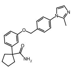 Cc1nccn1-c1ccc(COc2cccc(C3(C(N)=O)CCCC3)c2)cc1